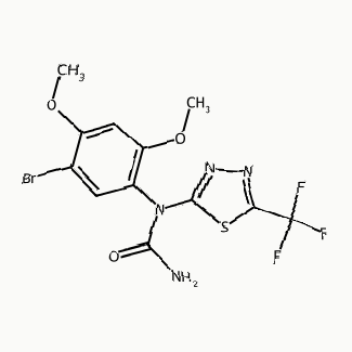 COc1cc(OC)c(N(C(N)=O)c2nnc(C(F)(F)F)s2)cc1Br